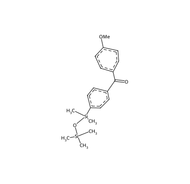 COc1ccc(C(=O)c2ccc([Si](C)(C)O[Si](C)(C)C)cc2)cc1